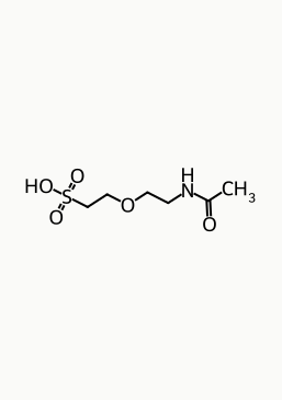 CC(=O)NCCOCCS(=O)(=O)O